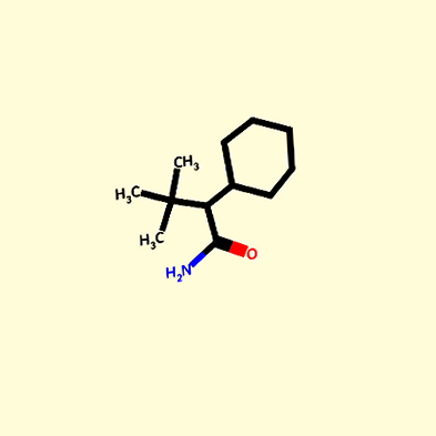 CC(C)(C)C(C(N)=O)C1CCCCC1